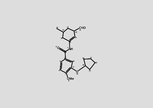 COc1ccc(C(=O)NC2=CC(C=O)CC(C)C2)cc1OC1CCCC1